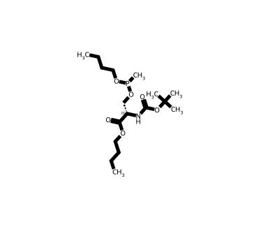 CCCCOC(=O)[C@H](COP(C)OCCCC)NC(=O)OC(C)(C)C